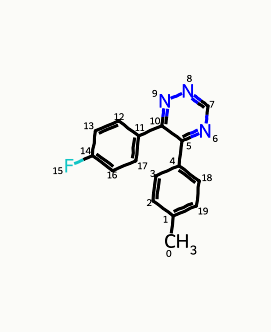 Cc1ccc(-c2ncnnc2-c2ccc(F)cc2)cc1